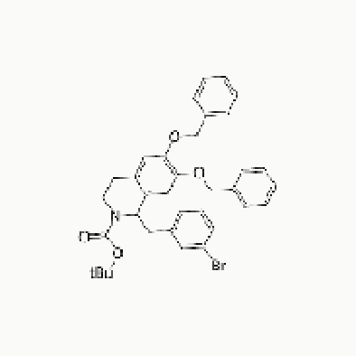 CC(C)(C)OC(=O)N1CCc2cc(OCc3ccccc3)c(OCc3ccccc3)cc2C1Cc1cccc(Br)c1